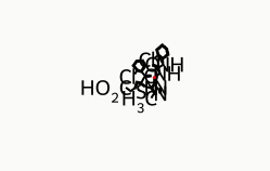 Cc1nnc(CNC(=O)Nc2ccccc2Cl)n1-c1sc(CC(=O)O)cc1C(=O)c1ccccc1Cl